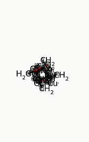 C=CCC(Cl)C(=O)Oc1ccccc1-c1c2nc(c(-c3ccccc3OC(=O)C(Cl)CC=C)c3ccc([nH]3)c(-c3ccccc3OC(=O)C(Cl)CC=C)c3nc(c(-c4ccccc4OC(=O)C(Cl)CC=C)c4ccc1[nH]4)C=C3)C=C2.[Cu]